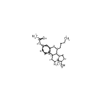 CCCCC1Cc2cc(OC(C)=O)ccc2C2CCC3(C)C(O)CCC3C12